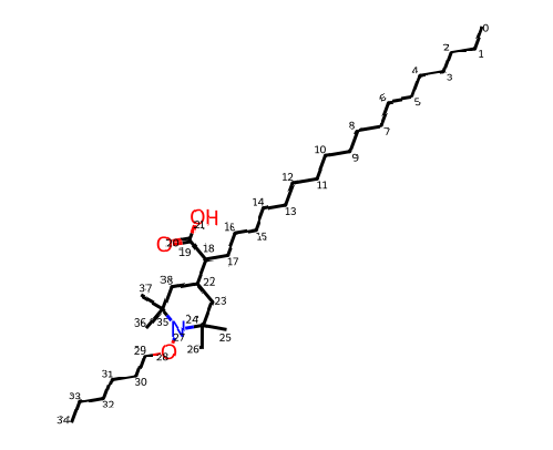 CCCCCCCCCCCCCCCCCCC(C(=O)O)C1CC(C)(C)N(OCCCCCC)C(C)(C)C1